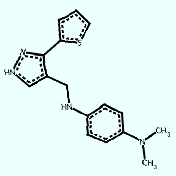 CN(C)c1ccc(NCc2c[nH]nc2-c2cccs2)cc1